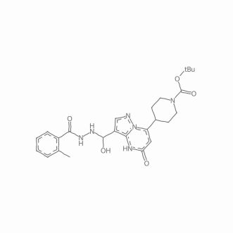 Cc1ccccc1C(=O)NNC(O)c1cnn2c(C3CCN(C(=O)OC(C)(C)C)CC3)cc(=O)[nH]c12